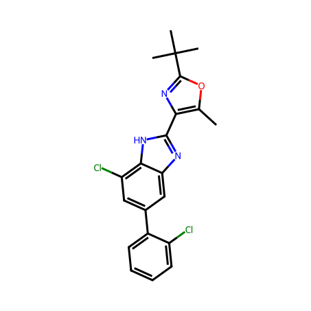 Cc1oc(C(C)(C)C)nc1-c1nc2cc(-c3ccccc3Cl)cc(Cl)c2[nH]1